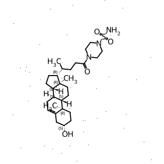 CC(CCC(=O)N1CCN(S(N)(=O)=O)CC1)[C@H]1CC[C@H]2[C@@H]3CC=C4C[C@@H](O)CC[C@]4(C)[C@H]3CC[C@]12C